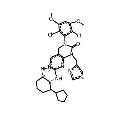 COc1cc(OC)c(Cl)c(N2Cc3cnc(N[C@@H]4C(C5CCCC5)CCC[C@@H]4N)nc3N(Cc3cscn3)C2=O)c1Cl